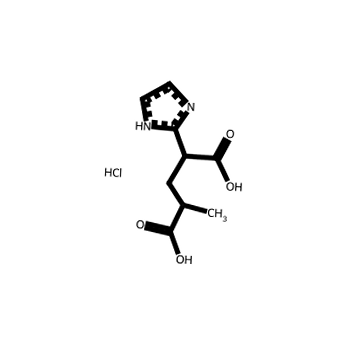 CC(CC(C(=O)O)c1ncc[nH]1)C(=O)O.Cl